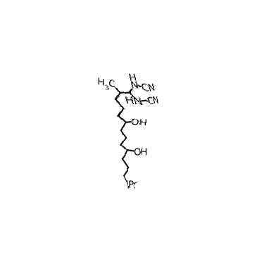 CC(C)CCCC(O)CCCC(O)CCCC(C)C(NC#N)NC#N